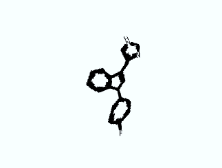 Fc1ccc(C2C=C(c3c[nH]cn3)c3ccccc32)cc1